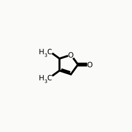 CC1=CC(=O)OC1C